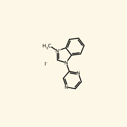 C[n+]1cn(-c2cnccn2)c2ccccc21.[I-]